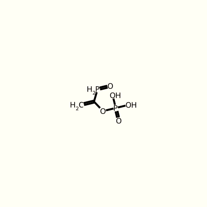 C=C(OP(=O)(O)O)[PH2]=O